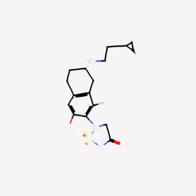 O=C1CN(c2c(O)cc3c(c2F)C[C@@H](NCCC2CC2)CC3)S(=O)(=O)N1